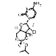 CC(C)O[P@]1(=S)OC[C@H]2O[C@@H](n3ccc(N)nc3=O)[C@@](F)(Cl)[C@@H]2O1